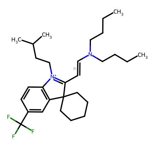 CCCCN(/C=C/C1=[N+](CCC(C)C)c2ccc(C(F)(F)F)cc2C12CCCCC2)CCCC